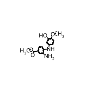 COC(=O)c1ccc(Nc2ccc(OC)c(O)c2)c(N)c1